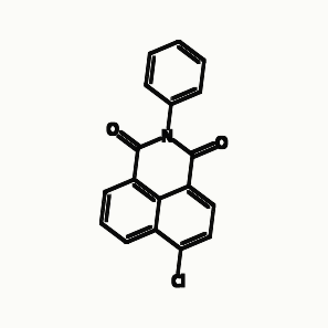 O=C1c2cccc3c(Cl)ccc(c23)C(=O)N1c1ccccc1